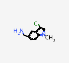 Cn1cc(Cl)c2cc(CN)ccc21